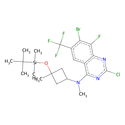 CN(c1nc(Cl)nc2c(F)c(Br)c(C(F)(F)F)cc12)C1CC(C)(O[Si](C)(C)C(C)(C)C)C1